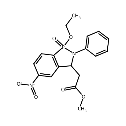 CCOP1(=O)c2ccc([N+](=O)[O-])cc2C(CC(=O)OC)N1c1ccccc1